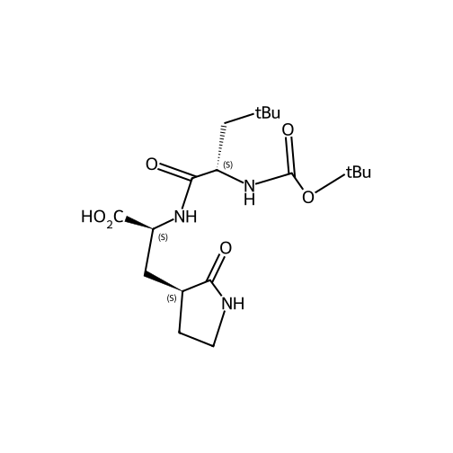 CC(C)(C)C[C@H](NC(=O)OC(C)(C)C)C(=O)N[C@@H](C[C@@H]1CCNC1=O)C(=O)O